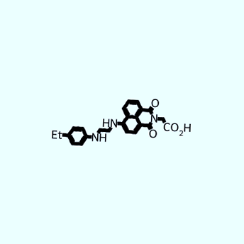 CCc1ccc(NCCNc2ccc3c4c(cccc24)C(=O)N(CC(=O)O)C3=O)cc1